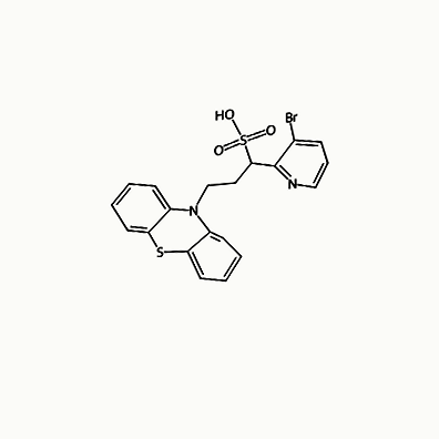 O=S(=O)(O)C(CCN1c2ccccc2Sc2ccccc21)c1ncccc1Br